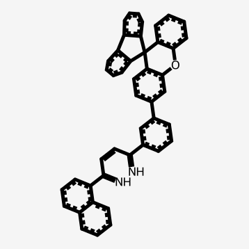 N=C(/C=C\C(=N)c1cccc2ccccc12)c1cccc(-c2ccc3c(c2)Oc2ccccc2C32c3ccccc3-c3ccccc32)c1